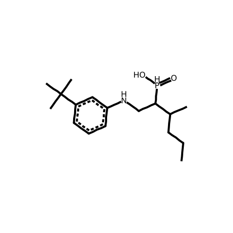 CCCC(C)C(CNc1cccc(C(C)(C)C)c1)[PH](=O)O